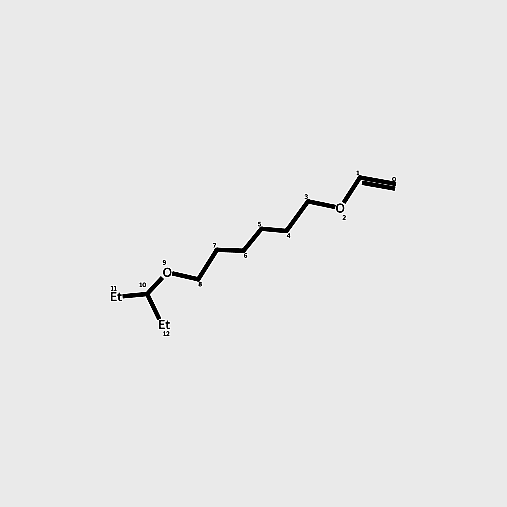 C=COCCCCCCOC(CC)CC